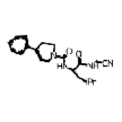 CC(C)CC(NC(=O)N1CC=C(c2ccccc2)CC1)C(=O)NCC#N